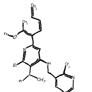 C=C/C=C\C(=C(/C)OCC)c1cc(NCc2cccnc2C(F)(F)F)c(N(C)C(C)C)c(CC)n1